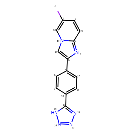 Ic1ccc2nc(-c3ccc(-c4nnn[nH]4)cc3)cn2c1